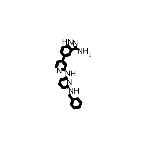 Nc1n[nH]c2ccc(-c3ccnc(Nc4cccc(NCc5ccccc5)n4)c3)cc12